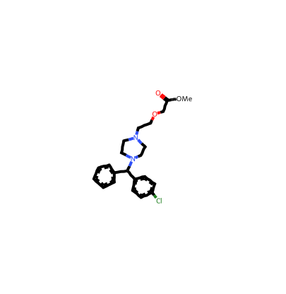 COC(=O)COCCN1CCN(C(c2ccccc2)c2ccc(Cl)cc2)CC1